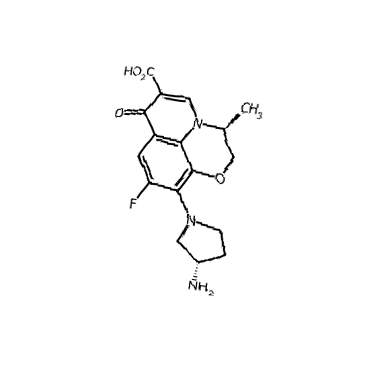 C[C@H]1COc2c(N3CC[C@H](N)C3)c(F)cc3c(=O)c(C(=O)O)cn1c23